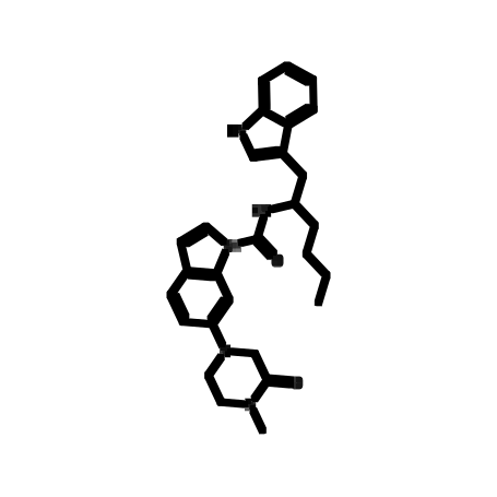 CCCCC(Cc1c[nH]c2ccccc12)NC(=O)[SH]1C=Cc2ccc(N3CCN(C)C(=O)C3)cc21